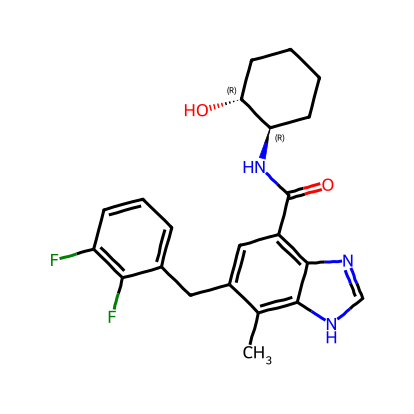 Cc1c(Cc2cccc(F)c2F)cc(C(=O)N[C@@H]2CCCC[C@H]2O)c2nc[nH]c12